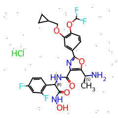 C[C@H](N)c1oc(-c2ccc(OC(F)F)c(OCC3CC3)c2)nc1C(=O)N[C@@H](C(=O)NO)c1ccc(F)cc1F.Cl